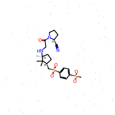 CC1(C)[C@H](CS(=O)(=O)c2ccc(S(C)(=O)=O)cc2)CC[C@]1(C)NCC(=O)N1CCC[C@H]1C#N